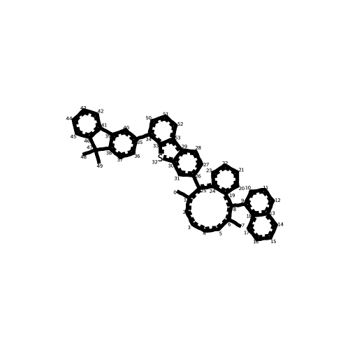 Cc1ccccc(C)c(-c2cccc3ccccc23)c2ccccc2c1-c1ccc2c(c1)sc1c(-c3ccc4c(c3)-c3ccccc3C4(C)C)cccc12